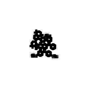 CC(C)(C)c1ccc(N2C3=CC(N(c4ccccc4)c4ccccc4)=CC4C3B(c3cc(C(C)(C)C)ccc32)c2sc3c5c2N4c2ccc(C(C)(C)C)cc2-c2c(ccc4c2C(C)(C)CCC4(C)C)C5(C)CCC3(C)C)cc1